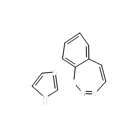 C1=Cc2ccccc2SN=N1.c1c[nH]cn1